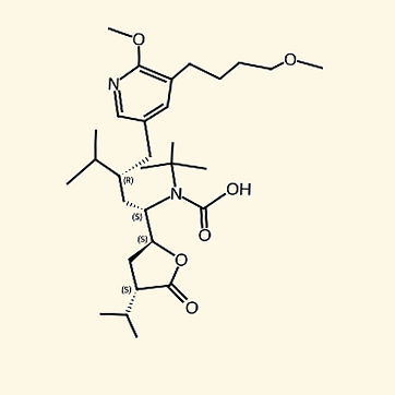 COCCCCc1cc(C[C@H](C[C@@H]([C@@H]2C[C@@H](C(C)C)C(=O)O2)N(C(=O)O)C(C)(C)C)C(C)C)cnc1OC